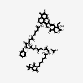 CC[C@@]1(O)C(=O)OCc2c1cc1n(c2=O)Cc2c-1nc1cc(F)c(C)c3c1c2[C@@H](NC(=O)CCCNC(=O)CNC(=O)[C@H](Cc1ccccc1)NC(=O)CNC(=O)CNC(=O)[C@H](CC(=O)O)NC(=O)CCCCCN1C(=O)CC(C(C)(C)C)C1=O)CC3